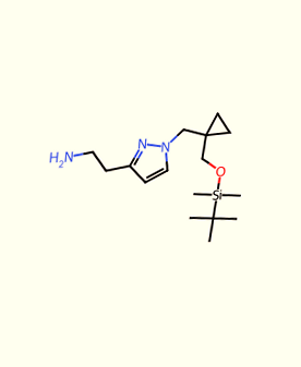 CC(C)(C)[Si](C)(C)OCC1(Cn2ccc(CCN)n2)CC1